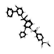 COC(=O)c1ccc(C(=O)Oc2ccc(C(C)(C)c3ccc(C)c(-c4ccccc4)c3)cc2-c2ccccc2)cc1